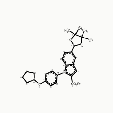 CCOC(=O)c1cc2cc(B3OC(C)(C)C(C)(C)O3)ccc2n1-c1ccc(OC2CCCC2)cc1